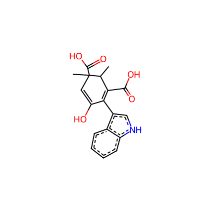 CC1C(C(=O)O)=C(c2c[nH]c3ccccc23)C(O)=CC1(C)C(=O)O